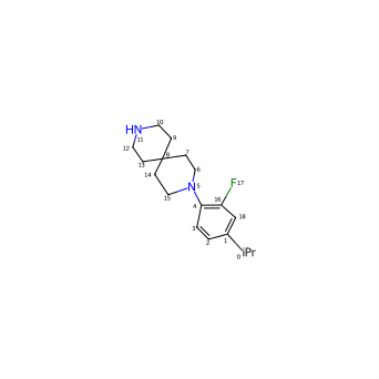 CC(C)c1ccc(N2CCC3(CCNCC3)CC2)c(F)c1